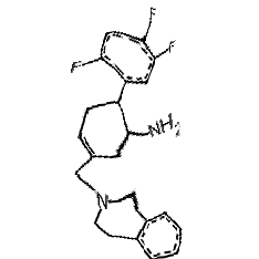 NC1CC(CN2CCc3ccccc3C2)=CCC1c1cc(F)c(F)cc1F